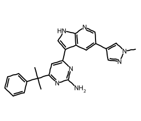 Cn1cc(-c2cnc3[nH]cc(-c4cc(C(C)(C)c5ccccc5)nc(N)n4)c3c2)cn1